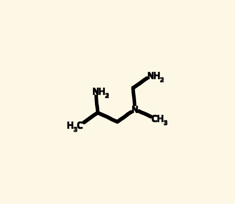 CC(N)CN(C)CN